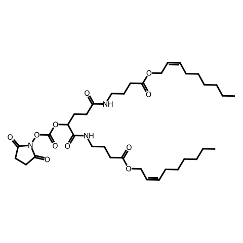 CCCCCC/C=C\COC(=O)CCCNC(=O)CCC(OC(=O)ON1C(=O)CCC1=O)C(=O)NCCCC(=O)OC/C=C\CCCCCC